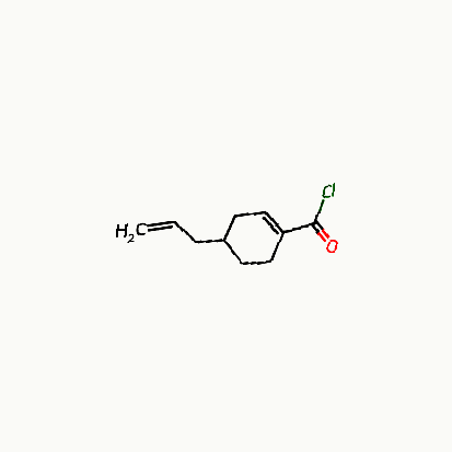 C=CCC1CC=C(C(=O)Cl)CC1